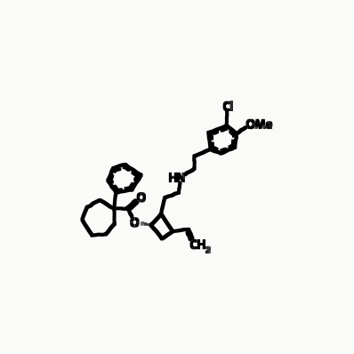 C=CC1C[C@H](OC(=O)C2(c3ccccc3)CCCCCC2)C1CCNCCc1ccc(OC)c(Cl)c1